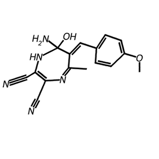 COc1ccc(C=C2C(C)=NC(C#N)=C(C#N)NC2(N)O)cc1